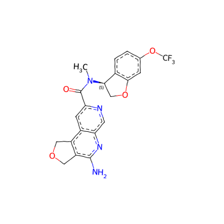 CN(C(=O)c1cc2c3c(c(N)nc2cn1)COC3)[C@@H]1COc2cc(OC(F)(F)F)ccc21